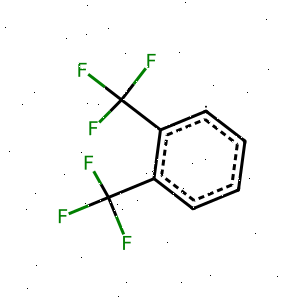 FC(F)(F)c1[c]cccc1C(F)(F)F